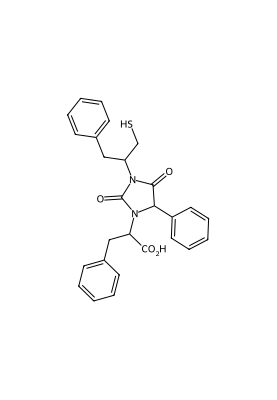 O=C(O)C(Cc1ccccc1)N1C(=O)N(C(CS)Cc2ccccc2)C(=O)C1c1ccccc1